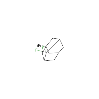 CC(C)C12CC3CC(C1)C(F)(F)C(C3)C2